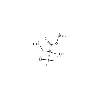 CCCCCOC(=O)C(CC(=O)O)(C(C)(C)CC)S(=O)(=O)O